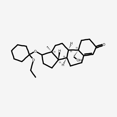 CCOC1(OC2CC[C@H]3[C@@H]4CCC5=CC(=O)CC[C@]5(CO)[C@@H]4CC[C@]23C)CCCCC1